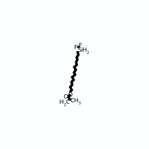 C=C(C)C(=O)OCCCCCCCCCCCCCCCCC[SiH2]C(F)F